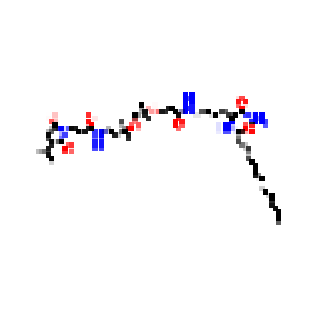 CCCCCCCCCCCC(=O)NC(CCCCNC(=O)CCOC(C)(C)COC(C)(C)CCNC(=O)CCN1C(=O)CC(C(C)C)C1=O)C(N)=O